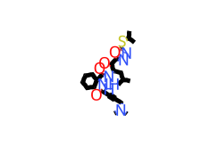 CC(C)CC(NC(=O)C1(NC(=O)C#CCN(C)C)CCCCC1)C(=O)c1nnc(SC(C)C)o1